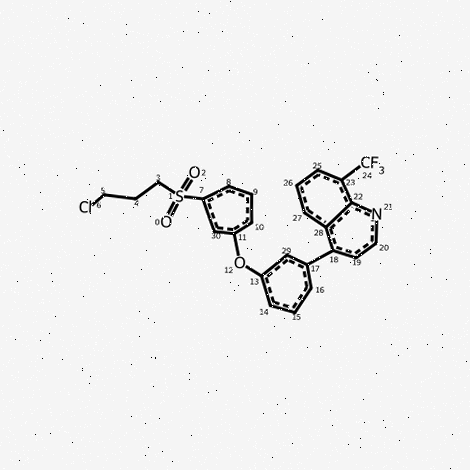 O=S(=O)(CCCCl)c1cccc(Oc2cccc(-c3ccnc4c(C(F)(F)F)cccc34)c2)c1